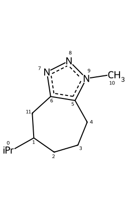 CC(C)C1CCCc2c(nnn2C)C1